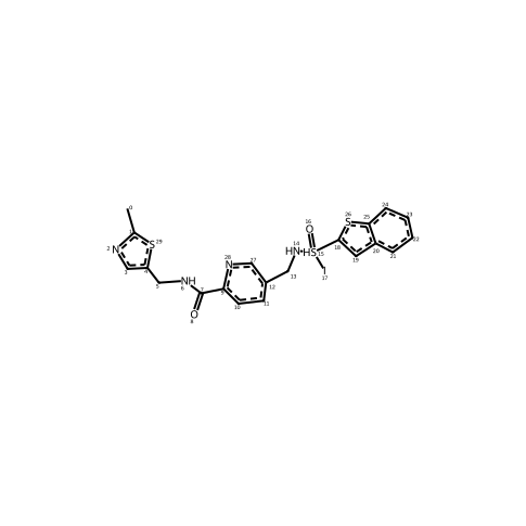 Cc1ncc(CNC(=O)c2ccc(CN[SH](=O)(I)c3cc4ccccc4s3)cn2)s1